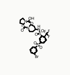 O=C([C@@H]1CCCN1C(=O)O)N1CCC(NS(=O)(=O)c2cc(S(=O)(=O)c3cccc(Br)c3)ccc2C(F)(F)F)CC1